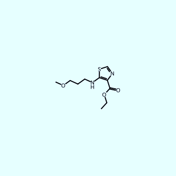 CCOC(=O)c1ncsc1NCCCOC